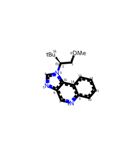 COC[C@@H](n1cnc2cnc3ccccc3c21)C(C)(C)C